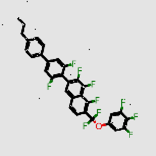 CCCc1ccc(-c2cc(F)c(-c3cc4ccc(C(F)(F)Oc5cc(F)c(F)c(F)c5)c(F)c4c(F)c3F)c(F)c2)cc1